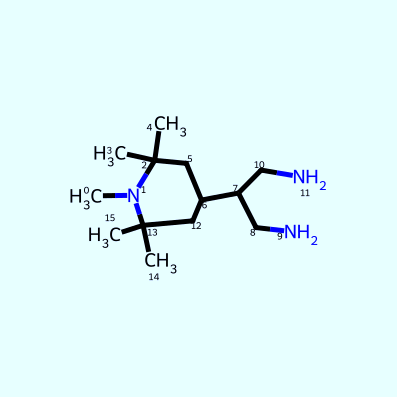 CN1C(C)(C)CC(C(CN)CN)CC1(C)C